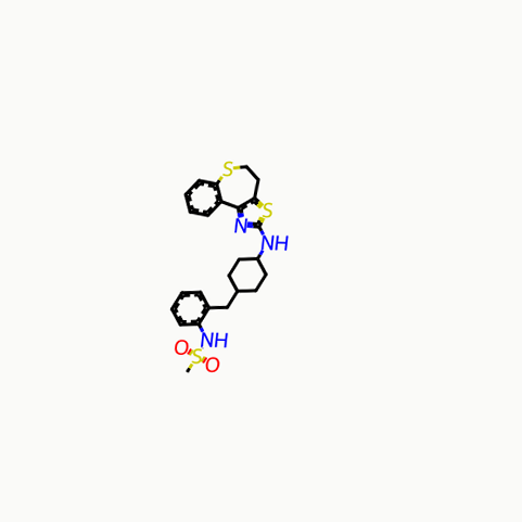 CS(=O)(=O)Nc1ccccc1CC1CCC(Nc2nc3c(s2)CCSc2ccccc2-3)CC1